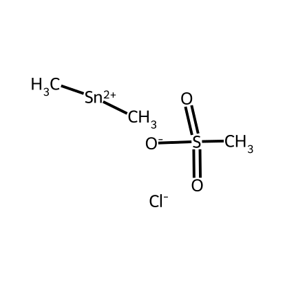 CS(=O)(=O)[O-].[CH3][Sn+2][CH3].[Cl-]